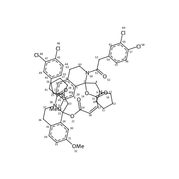 COc1ccc2c(c1)C(CN1CCCC1)(OC(=O)/C=C\C(=O)OC1(CN3CCCC3)c3cc(OC)ccc3CCN1C(=O)Cc1ccc(Cl)c(Cl)c1)N(C(=O)Cc1ccc(Cl)c(Cl)c1)CC2